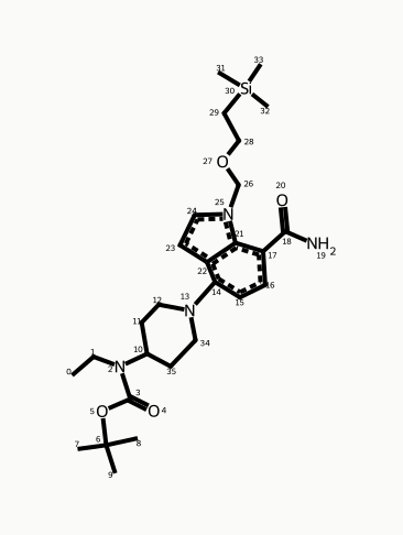 CCN(C(=O)OC(C)(C)C)C1CCN(c2ccc(C(N)=O)c3c2ccn3COCC[Si](C)(C)C)CC1